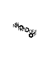 FC(F)(F)c1ccccc1OC1CCN(c2ccc(-n3cncn3)nn2)CC1